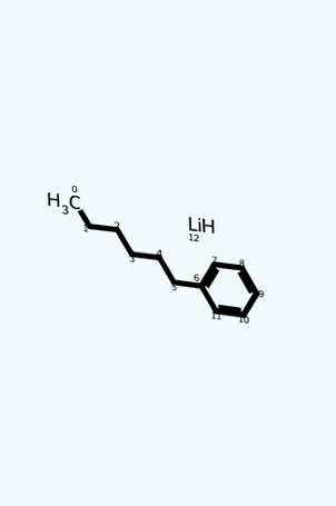 CCCCCCc1cc[c]cc1.[LiH]